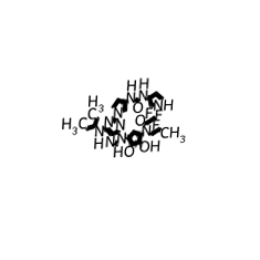 CCCN(C(=O)C(F)(F)F)[C@H]1C[C@@H](n2cnc3c(NC(CC)CC)nc(N4CC[C@@H](NC(=O)NC5CCNC5)C4)nc32)[C@H](O)[C@@H]1O